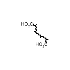 CC(C=CC(=O)O)=CC=CC(C)=C/C=C/C=C(C)/C=C/C=C(C)\C=C\C(=O)O